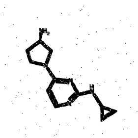 N[C@@H]1CCN(c2ccnc(NC3CC3)n2)C1